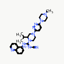 CC(C)C1CN(c2ccc(N3CCN(C)CC3)nn2)CCN1/C(=N\C#N)Nc1cccc2ncccc12